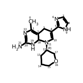 CC1=C2CC(c3ncc[nH]3)=CN([C@@H]3CCCOC3)C2NC(N)=N1